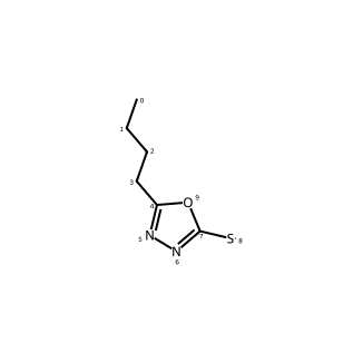 CCCCc1nnc([S])o1